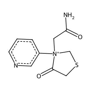 NC(=O)C[N+]1(c2cccnc2)CSCC1=O